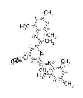 CC(=Nc1c(C)cc(C)cc1C)c1cccc(C(C)=Nc2c(C)cc(C)cc2C)n1.[Cl-].[Cl-].[Cl-].[Co+3]